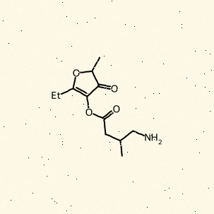 CCC1=C(OC(=O)CC(C)CN)C(=O)C(C)O1